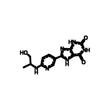 CC(CO)Nc1ccc(-c2nc3[nH]c(=O)[nH]c(=O)c3[nH]2)cn1